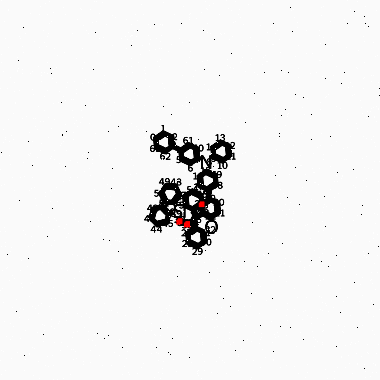 c1ccc(-c2ccc(N(c3ccccc3)c3ccc(-c4ccc5c(c4)C4(c6ccccc6O5)c5ccccc5[Si](c5ccccc5)(c5ccccc5)c5ccccc54)cc3)cc2)cc1